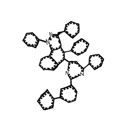 c1ccc(-c2cccc(-c3nc(-c4ccccc4)cc(-c4c(-c5ccccc5)c5c(-c6ccccc6)nn(-c6ccccc6)c5c5ccccc45)n3)c2)cc1